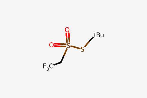 CC(C)(C)SS(=O)(=O)CC(F)(F)F